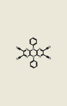 N#Cc1nc2c(nc1C#N)N(c1ccccc1)c1nc(C#N)c(C#N)nc1N2c1ccccc1